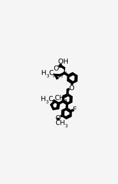 COc1ccc(F)c(-c2ccc(COc3cccc([C@H](CC(=O)O)[C@@H]4C[C@H]4C)c3)cc2C2=CCCC2(C)C)c1